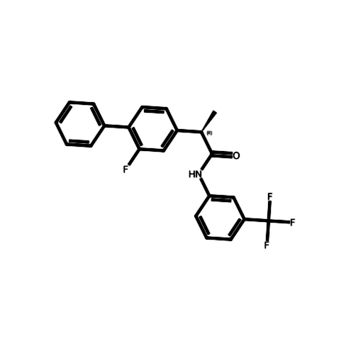 C[C@@H](C(=O)Nc1cccc(C(F)(F)F)c1)c1ccc(-c2ccccc2)c(F)c1